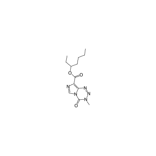 CCCCC(CC)OC(=O)c1ncn2c(=O)n(C)nnc12